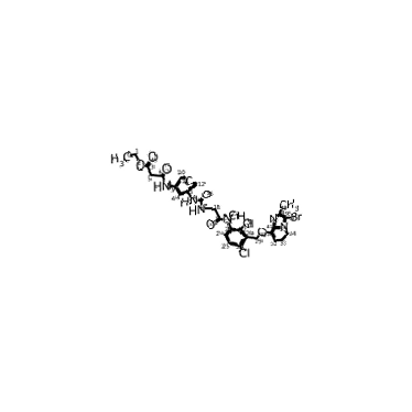 CCOC(=O)CC(=O)Nc1cccc(NC(=O)NCC(=O)N(C)c2ccc(Cl)c(COc3cccn4c(Br)c(C)nc34)c2Cl)c1